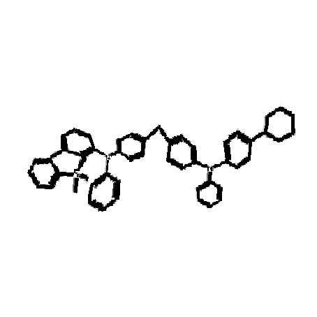 C[Si]1(C)c2ccccc2-c2cccc(N(c3ccccc3)c3ccc(Cc4ccc(N(c5ccccc5)c5ccc(C6CCCCC6)cc5)cc4)cc3)c21